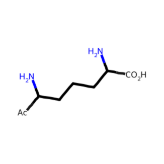 CC(=O)C(N)CCCC(N)C(=O)O